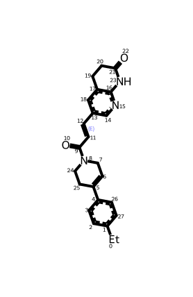 CCc1ccc(C2=CCN(C(=O)/C=C/c3cnc4c(c3)CCC(=O)N4)CC2)cc1